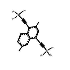 Cc1ccc2c(C#C[Si](C(C)C)(C(C)C)C(C)C)c(C)cc(C#C[Si](C(C)C)(C(C)C)C(C)C)c2c1